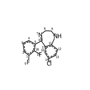 Fc1cccc(C2=NCCNc3ccc(Cl)cc32)c1F